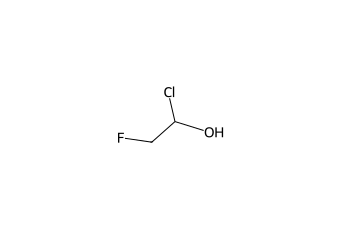 OC(Cl)CF